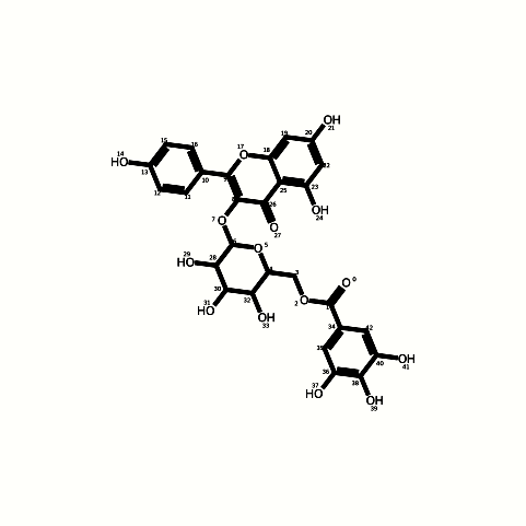 O=C(OCC1OC(Oc2c(-c3ccc(O)cc3)oc3cc(O)cc(O)c3c2=O)C(O)C(O)C1O)c1cc(O)c(O)c(O)c1